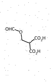 O=CO[CH][C](C(=O)O)C(=O)O